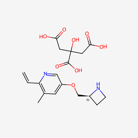 C=Cc1ncc(OC[C@@H]2CCN2)cc1C.O=C(O)CC(O)(CC(=O)O)C(=O)O